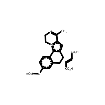 CCCCCCCCOc1ccc2c(c1)CCc1cc3n(c1-2)CCN=C3C.O=C(O)C=CC(=O)O